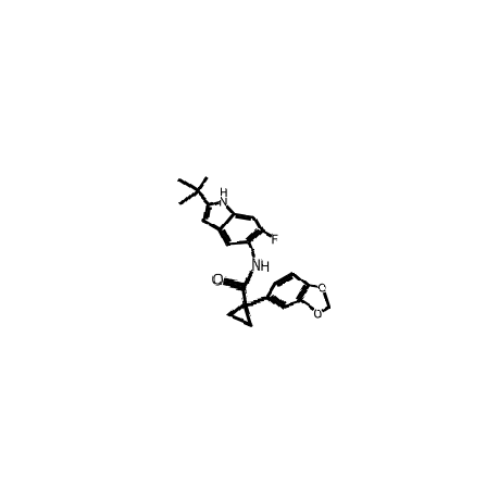 CC(C)(C)c1cc2cc(NC(=O)C3(c4ccc5c(c4)OCO5)CC3)c(F)cc2[nH]1